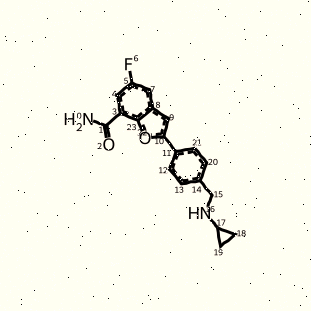 NC(=O)c1cc(F)cc2cc(-c3ccc(CNC4CC4)cc3)oc12